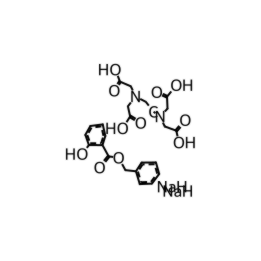 O=C(O)CN(CCN(CC(=O)O)CC(=O)O)CC(=O)O.O=C(OCc1ccccc1)c1ccccc1O.[NaH].[NaH]